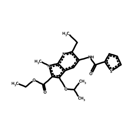 CCOC(=O)c1c(OC(C)C)c2cc(NC(=O)c3cccs3)c(CC)nc2n1C